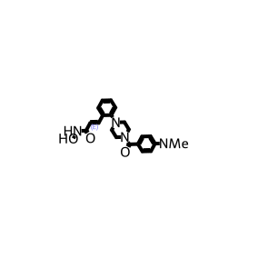 CNc1ccc(C(=O)N2CCN(c3ccccc3/C=C/C(=O)NO)CC2)cc1